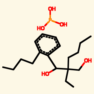 CCCCc1ccccc1C(O)C(CC)(CO)CCCC.OP(O)O